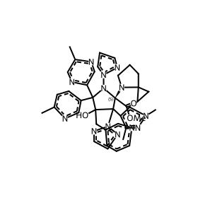 COC(=O)[C@@]1(N2CCCC23CC3)N(n2cccn2)C(c2ccc(C)nc2)(c2cnc(C)cn2)C(O)(Cc2cccnc2)C1(c1cn(C)nc1C)n1nccn1